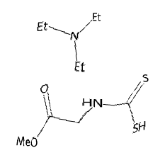 CCN(CC)CC.COC(=O)CNC(=S)S